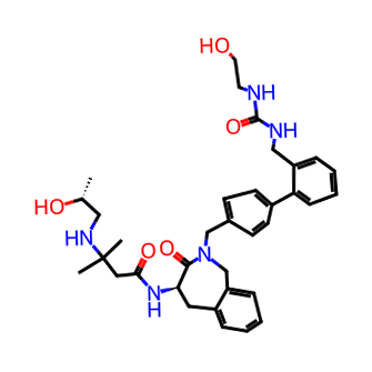 C[C@@H](O)CNC(C)(C)CC(=O)N[C@@H]1Cc2ccccc2CN(Cc2ccc(-c3ccccc3CNC(=O)NCCO)cc2)C1=O